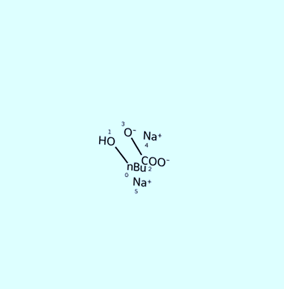 CCCCO.O=C([O-])[O-].[Na+].[Na+]